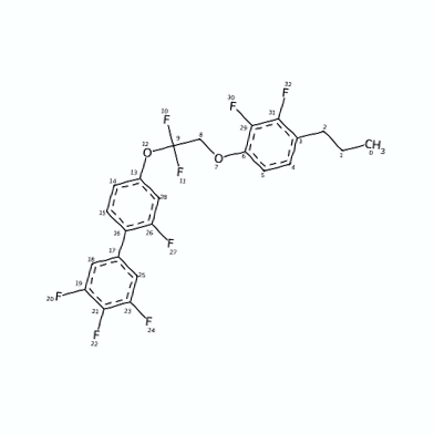 CCCc1ccc(OCC(F)(F)Oc2ccc(-c3cc(F)c(F)c(F)c3)c(F)c2)c(F)c1F